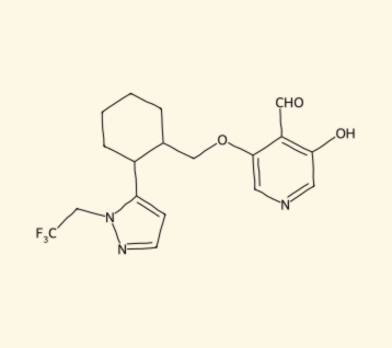 O=Cc1c(O)cncc1OCC1CCCCC1c1ccnn1CC(F)(F)F